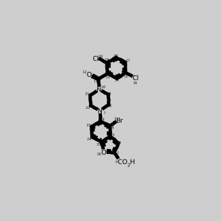 O=C(O)c1cc2c(Br)c(N3CCN(C(=O)c4cc(Cl)ccc4Cl)CC3)ccc2o1